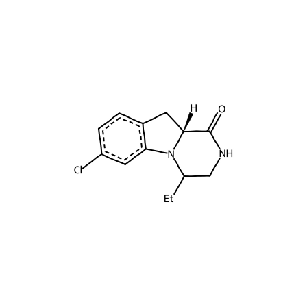 CCC1CNC(=O)[C@H]2Cc3ccc(Cl)cc3N12